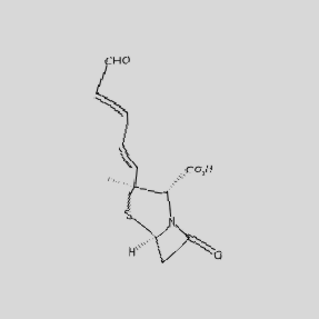 C[C@@]1(/C=C/C=C/C=O)S[C@@H]2CC(=O)N2[C@H]1C(=O)O